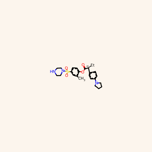 CC[C@H](C(=O)Oc1ccc(S(=O)(=O)N2CCNCC2)cc1C)c1ccc(N2CCCC2)cc1